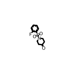 O=C1CCN(S(=O)(=O)c2ccccc2F)CC1